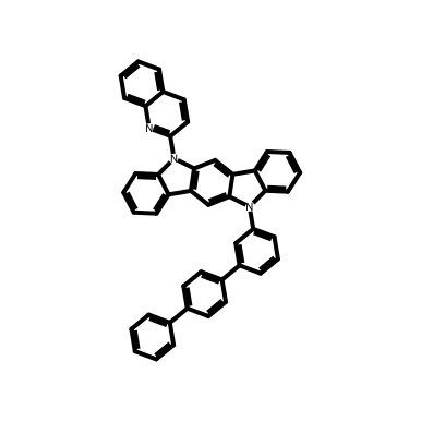 c1ccc(-c2ccc(-c3cccc(-n4c5ccccc5c5cc6c(cc54)c4ccccc4n6-c4ccc5ccccc5n4)c3)cc2)cc1